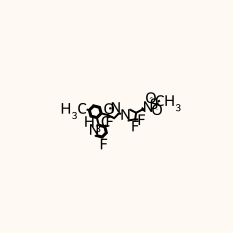 Cc1ccc(C2(C)CC(N3CC(C#[N+]S(C)(=O)=O)C(F)(F)C3)=NO2)c(-c2ncc(F)cc2F)c1